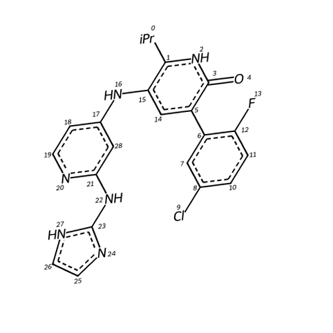 CC(C)c1[nH]c(=O)c(-c2cc(Cl)ccc2F)cc1Nc1ccnc(Nc2ncc[nH]2)c1